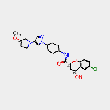 O=C(NC1CCC(n2cc(N3CC[C@@H](OC(F)(F)F)C3)cn2)CC1)[C@H]1C[C@@H](O)c2cc(Cl)ccc2O1